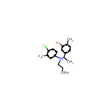 COCCN(c1ccc(Cl)c(C(F)(F)F)c1)C(C)c1ccc(C)c(Br)c1